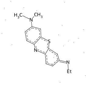 CC/N=c1\ccc2nc3ccc(N(C)C)cc3sc-2c1